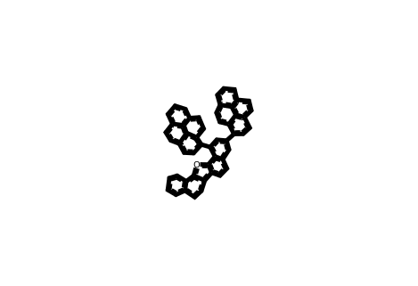 c1ccc2c(c1)ccc1c3ccc4cc(-c5ccc6ccc7cccc8ccc5c6c78)cc(-c5ccc6ccc7cccc8ccc5c6c78)c4c3oc21